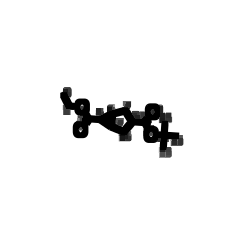 CCOC(=O)C1C2CC(C(=O)OC(C)(C)C)CC21